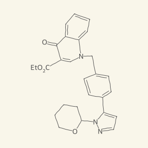 CCOC(=O)c1cn(Cc2ccc(-c3ccnn3C3CCCCO3)cc2)c2ccccc2c1=O